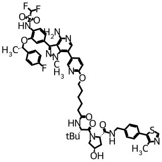 Cc1ncsc1-c1ccc(CNC(=O)[C@@H]2C[C@@H](O)CN2C(=O)[C@@H](NC(=O)CCCCCOc2ccc(-c3cnc(N)c4c(-c5ccc(NS(=O)(=O)C(F)F)c(O[C@@H](C)c6ccc(F)cc6)c5)nn(C)c34)cn2)C(C)(C)C)cc1